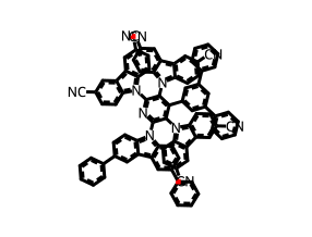 N#Cc1ccc2c(c1)c1cc(C#N)ccc1n2-c1nc(-n2c3ccc(-c4ccccc4)cc3c3cc(-c4ccccc4)ccc32)c(-n2c3ccc(C#N)cc3c3cc(C#N)ccc32)c(-c2cc(-c3ccccc3)cc(-c3ccccc3)c2)c1-n1c2ccc(C#N)cc2c2cc(C#N)ccc21